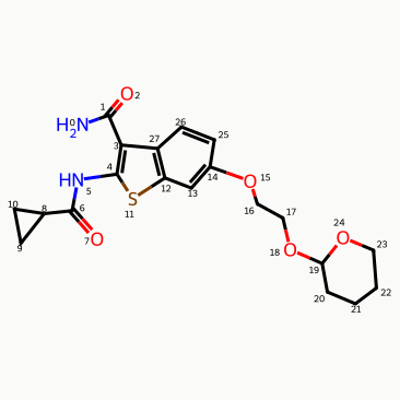 NC(=O)c1c(NC(=O)C2CC2)sc2cc(OCCOC3CCCCO3)ccc12